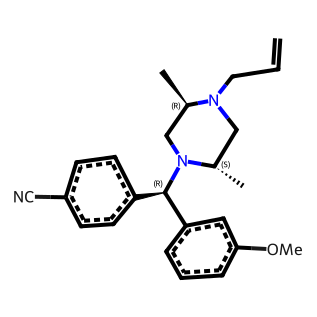 C=CCN1C[C@H](C)N([C@H](c2ccc(C#N)cc2)c2cccc(OC)c2)C[C@H]1C